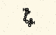 O=C1NC(=O)c2cc(O[C@H]3C[C@H](OCC(F)(F)CO)C3)ccc21